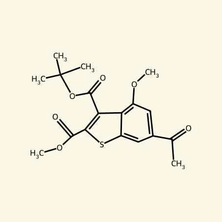 COC(=O)c1sc2cc(C(C)=O)cc(OC)c2c1C(=O)OC(C)(C)C